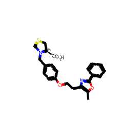 Cc1oc(-c2ccccc2)nc1CCOc1ccc(CN2CSC[C@H]2C(=O)O)cc1